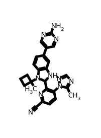 Cc1ncnn1-c1ccc(C#N)nc1C1Nc2cc(-c3cnc(N)nc3)ccc2N1C1(C)CCC1